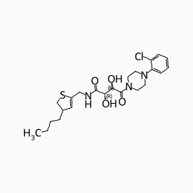 CCCCC1C=C(CNC(=O)[C@H](O)[C@@H](O)C(=O)N2CCN(c3ccccc3Cl)CC2)SC1